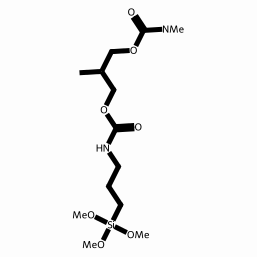 CNC(=O)OCC(C)COC(=O)NCCC[Si](OC)(OC)OC